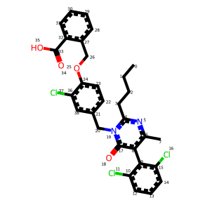 CCCCc1nc(C)c(-c2c(Cl)cccc2Cl)c(=O)n1Cc1ccc(OCc2ccccc2C(=O)O)c(Cl)c1